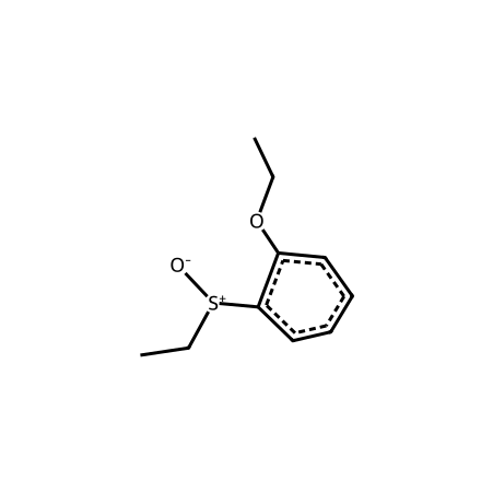 CCOc1ccccc1[S+]([O-])CC